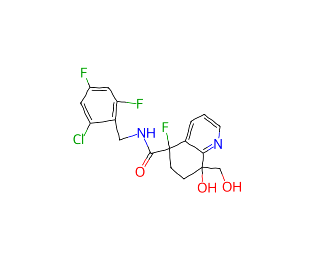 O=C(NCc1c(F)cc(F)cc1Cl)C1(F)CCC(O)(CO)c2ncccc21